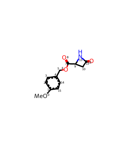 COc1ccc(COC(=O)C2CC(=O)N2)cc1